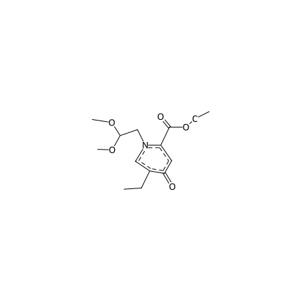 CCOC(=O)c1cc(=O)c(CC)cn1CC(OC)OC